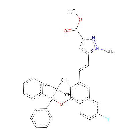 COC(=O)c1cc(C=Cc2cc(O[Si](c3ccccc3)(c3ccccc3)C(C)(C)C)c3ccc(F)cc3c2)n(C)n1